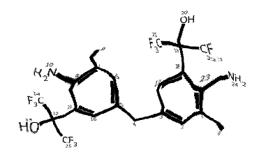 Cc1cc(Cc2cc(C)c(N)c(C(O)(C(F)(F)F)C(F)(F)F)c2)cc(C(O)(C(F)(F)F)C(F)(F)F)c1N